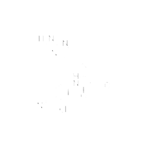 N#Cc1ccc(NC(=O)C2(c3ccc(-c4cnc(N)nc4)cc3)CCOCC2)cc1Cl